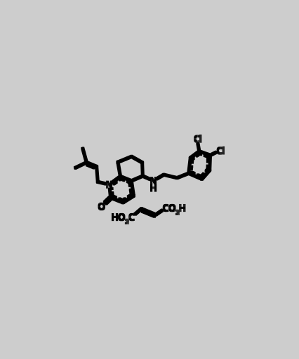 CC(C)=CCn1c2c(ccc1=O)C(NCCc1ccc(Cl)c(Cl)c1)CCC2.O=C(O)C=CC(=O)O